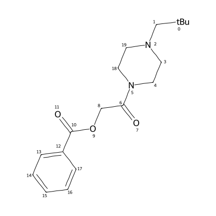 CC(C)(C)CN1CCN(C(=O)COC(=O)c2ccccc2)CC1